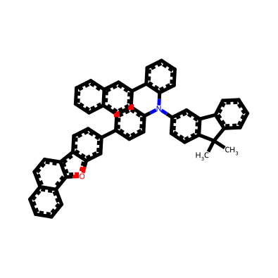 CC1(C)c2ccccc2-c2cc(N(c3ccc(-c4ccc5c(c4)oc4c6ccccc6ccc54)cc3)c3ccccc3-c3ccc4ccccc4c3)ccc21